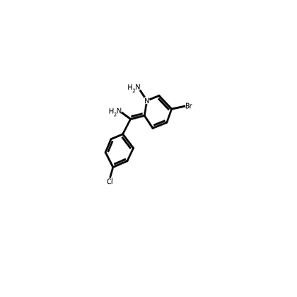 N/C(=C1/C=CC(Br)=CN1N)c1ccc(Cl)cc1